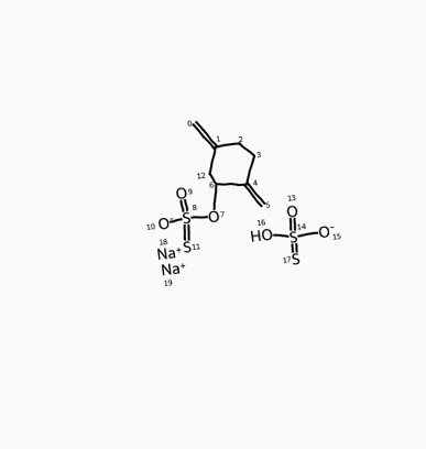 C=C1CCC(=C)C(OS(=O)([O-])=S)C1.O=S([O-])(O)=S.[Na+].[Na+]